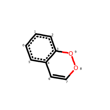 [c]1c[c]c2c(c1)C=COO2